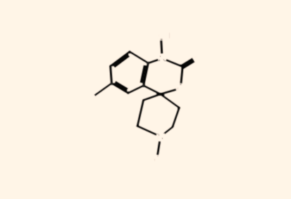 CN1CCC2(CC1)OC(=O)N(C)c1ccc(F)cc12